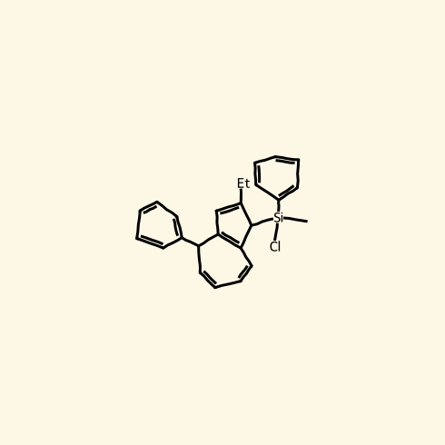 CCC1=CC2=C(C=CC=CC2c2ccccc2)C1[Si](C)(Cl)c1ccccc1